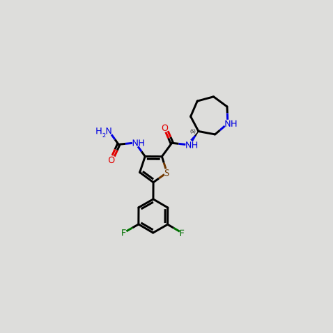 NC(=O)Nc1cc(-c2cc(F)cc(F)c2)sc1C(=O)N[C@H]1CCCCNC1